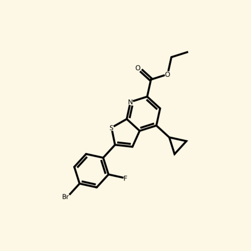 CCOC(=O)c1cc(C2CC2)c2cc(-c3ccc(Br)cc3F)sc2n1